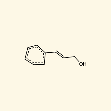 OC/[C]=C/c1ccccc1